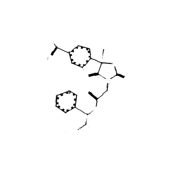 C[C@@]1(c2ccc(C(=N)N)cc2)NC(=O)N(CC(=O)N[C@@H](CC(=O)O)c2ccccc2)C1=O